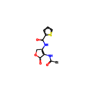 CCC(=O)NC1=C(NC(=O)c2cccs2)COC1=O